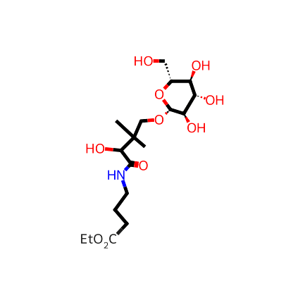 CCOC(=O)CCCNC(=O)C(O)C(C)(C)CO[C@@H]1O[C@H](CO)[C@@H](O)[C@H](O)[C@H]1O